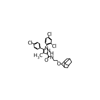 Cc1c(C(=O)NCCOC2C3CC4CC(C3)CC2C4)nn(-c2ccc(Cl)cc2Cl)c1-c1ccc(Cl)cc1